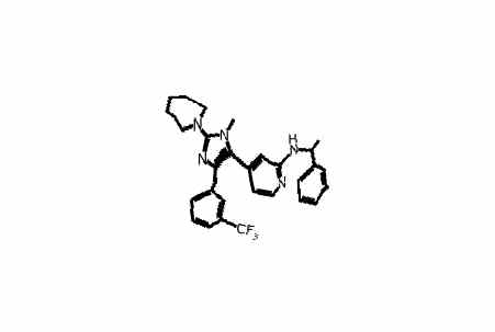 CC(Nc1cc(-c2c(-c3cccc(C(F)(F)F)c3)nc(N3CCCCC3)n2C)ccn1)c1ccccc1